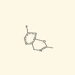 CC1=NCc2ccc(F)cc2O1